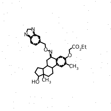 CCOC(=O)COc1cc2c(cc1C)C1CCC3(C)C(O)CCC3C1C/C2=N\OCc1ccc2c(c1)=NCN=2